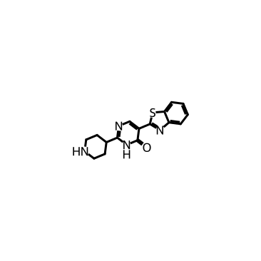 O=c1[nH]c(C2CCNCC2)ncc1-c1nc2ccccc2s1